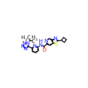 CC(C)n1nnnc1-c1cccc(NC(=O)c2cc3sc(C4CCC4)nc3cn2)n1